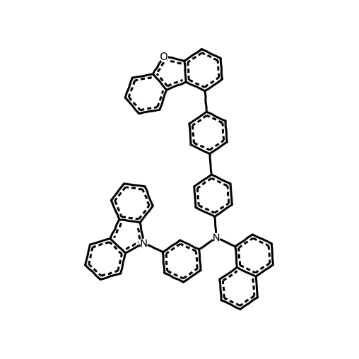 c1cc(N(c2ccc(-c3ccc(-c4cccc5oc6ccccc6c45)cc3)cc2)c2cccc3ccccc23)cc(-n2c3ccccc3c3ccccc32)c1